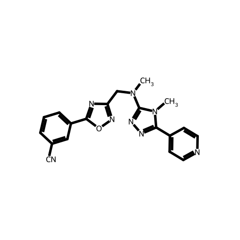 CN(Cc1noc(-c2cccc(C#N)c2)n1)c1nnc(-c2ccncc2)n1C